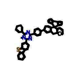 CN1C(C2=CCCC=C2)=NC(c2ccc(-c3ccc4c(c3)Cc3ccccc3C43c4ccccc4-c4ccccc43)cc2)=NC1c1ccc2c(c1)sc1ccccc12